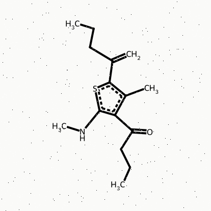 C=C(CCC)c1sc(NC)c(C(=O)CCC)c1C